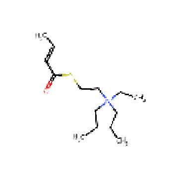 C/C=C/C(=O)SCC[N+](CC)(CCC)CCC